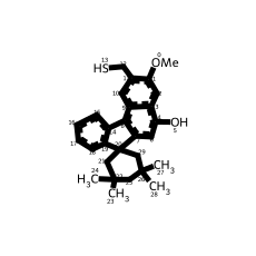 COc1cc2c(O)cc3c(c2cc1CS)-c1ccccc1C31CC(C)(C)CC(C)(C)C1